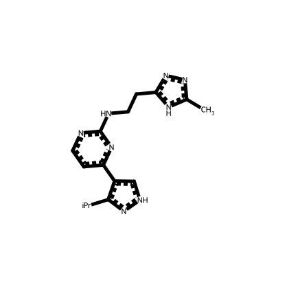 Cc1nnc(CCNc2nccc(-c3c[nH]nc3C(C)C)n2)[nH]1